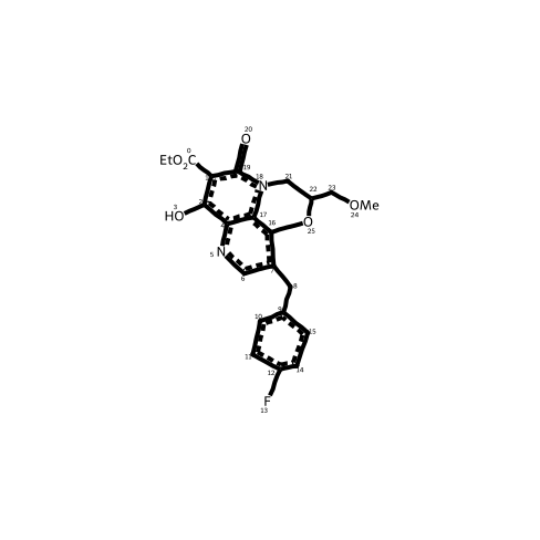 CCOC(=O)c1c(O)c2ncc(Cc3ccc(F)cc3)c3c2n(c1=O)CC(COC)O3